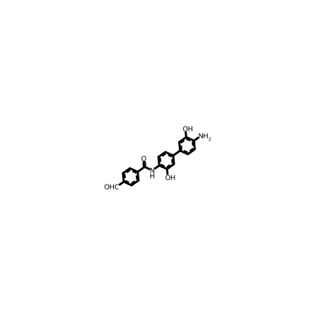 Nc1ccc(-c2ccc(NC(=O)c3ccc(C=O)cc3)c(O)c2)cc1O